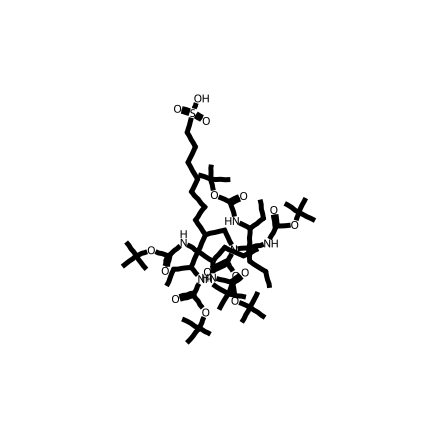 CCCC(NC(=O)OC(C)(C)C)C(NC(=O)OC(C)(C)C)(C(CCCCCCCS(=O)(=O)O)CN(C(=O)OC(C)(C)C)C(CCC)(NC(=O)OC(C)(C)C)C(CC)NC(=O)OC(C)(C)C)C(CC)NC(=O)OC(C)(C)C